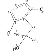 [2H]C([2H])(O)Cc1c(Cl)cccc1Cl